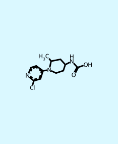 CC1CC(NC(=O)O)CCN1c1ccnc(Cl)c1